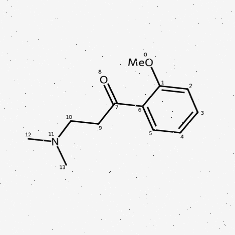 COc1ccccc1C(=O)CCN(C)C